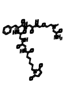 CN(CCOCNC(=O)CNC(=O)[C@H](Cc1ccccc1)NC(=O)CNC(=O)CNC(=O)CCCCCN1C(=O)C=CC1=O)CC(N)=O